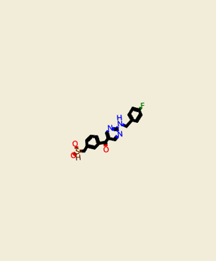 O=C(c1cnc(NCc2ccc(F)cc2)nc1)c1cccc(C[SH](=O)=O)c1